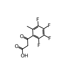 Cc1c(F)c(F)c(F)c(F)c1C(=O)CC(=O)O